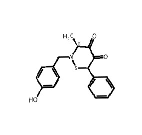 C[C@H]1C(=O)C(=O)C(c2ccccc2)SN1Cc1ccc(O)cc1